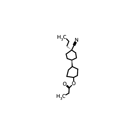 CCC[C@]1(C#N)CC[C@@H](C2CCC(OC(=O)CC)CC2)CC1